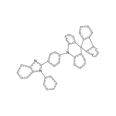 c1ccc(-n2c(-c3ccc(N4c5ccccc5C5(c6ccccc6-c6ccccc65)c5ccccc54)cc3)nc3ccccc32)cc1